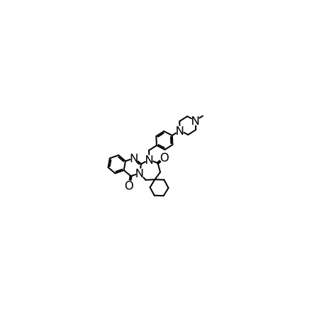 CN1CCN(c2ccc(CN3C(=O)CC4(CCCCC4)Cn4c3nc3ccccc3c4=O)cc2)CC1